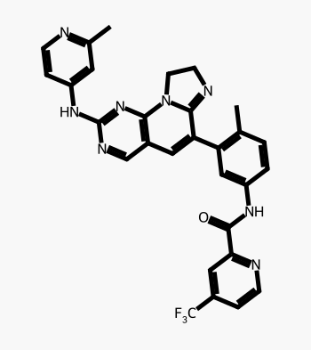 Cc1cc(Nc2ncc3c(n2)N2CCN=C2C(c2cc(NC(=O)c4cc(C(F)(F)F)ccn4)ccc2C)=C3)ccn1